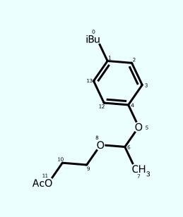 CCC(C)c1ccc(OC(C)OCCOC(C)=O)cc1